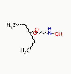 CCCCC/C=C\CCCC(CCC/C=C\CCCCC)COC(=O)CCCCCNCCO